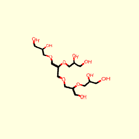 OCC(O)COCC(COCC(CO)OCC(O)CO)OCC(O)CO